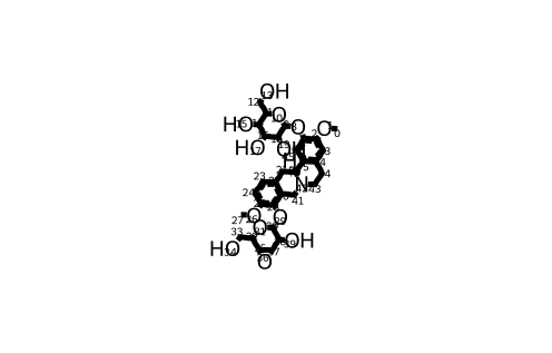 COc1cc2c(cc1OC1OC(CO)C(O)C(O)C1O)[C@@H]1Cc3ccc(OC)c(OC4OC(CO)C5OC5C4O)c3CN1CC2